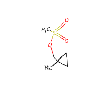 CS(=O)(=O)OC1(C#N)CC1